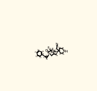 N#CCC1(N2CC(CN(C(=O)C(F)(F)F)C3CC3c3ccccc3)C2)CCNCC1